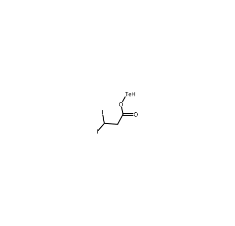 O=C(CC(I)I)O[TeH]